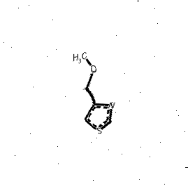 CO[CH]c1cscn1